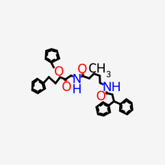 CC(CCNC(=O)CC(c1ccccc1)c1ccccc1)CC(=O)NCC(=O)C(CCc1ccccc1)OCc1ccccc1